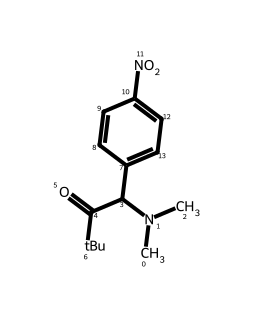 CN(C)C(C(=O)C(C)(C)C)c1ccc([N+](=O)[O-])cc1